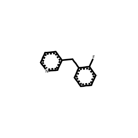 Fc1[c]cccc1Cc1cccnc1